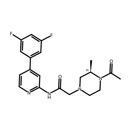 CC(=O)N1CCN(CC(=O)Nc2cc(-c3cc(F)cc(F)c3)ccn2)C[C@H]1C